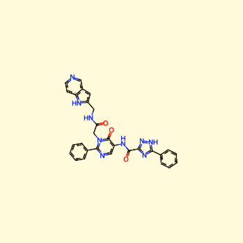 O=C(Cn1c(-c2ccccc2)ncc(NC(=O)c2n[nH]c(-c3ccccc3)n2)c1=O)NCc1cc2cnccc2[nH]1